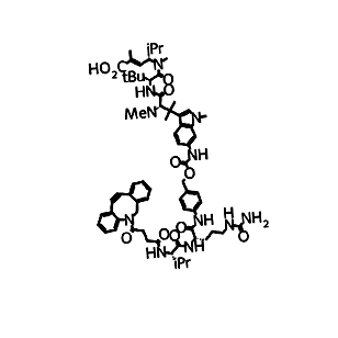 CN[C@H](C(=O)N[C@H](C(=O)N(C)[C@H](/C=C(\C)C(=O)O)C(C)C)C(C)(C)C)C(C)(C)c1cn(C)c2cc(NC(=O)OCc3ccc(NC(=O)[C@H](CCCNC(N)=O)NC(=O)[C@@H](NC(=O)CCC(=O)N4Cc5ccccc5C#Cc5ccccc54)C(C)C)cc3)ccc12